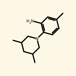 Cc1ccc(N2CC(C)CC(C)C2)c(N)c1